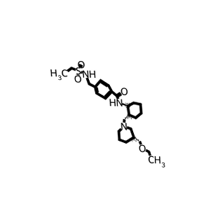 CCOC[C@@H]1CCCN(C[C@H]2CCCC[C@@H]2NC(=O)c2ccc(CNS(=O)(=O)CC)cc2)C1